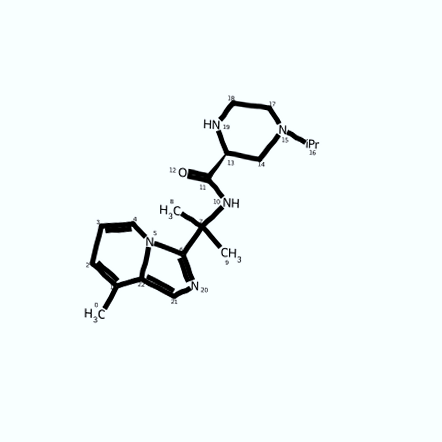 Cc1cccn2c(C(C)(C)NC(=O)[C@@H]3CN(C(C)C)CCN3)ncc12